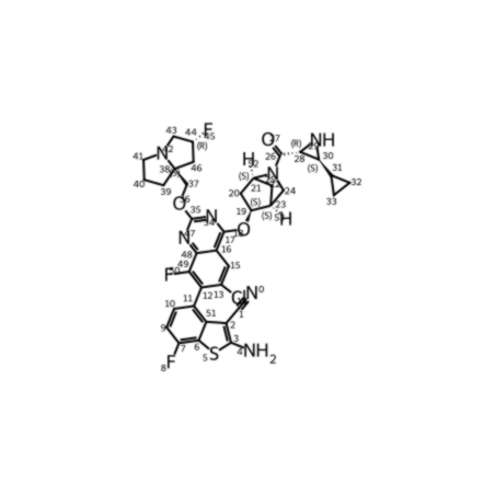 N#Cc1c(N)sc2c(F)ccc(-c3c(Cl)cc4c(O[C@H]5C[C@@H]6C[C@H]5CN6C(=O)[C@@H]5N[C@H]5C5CC5)nc(OC[C@@]56CCCN5C[C@H](F)C6)nc4c3F)c12